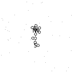 c1ccc(-c2ccccc2-c2nc(-c3ccc(-c4ccc(-c5ccc6sc7ccccc7c6c5)c5ccccc45)cc3)nc(-c3ccccc3-c3ccccc3)n2)cc1